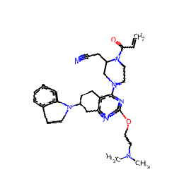 C=CC(=O)N1CCN(c2nc(OCCN(C)C)nc3c2CCC(N2CCc4ccccc42)C3)CC1CC#N